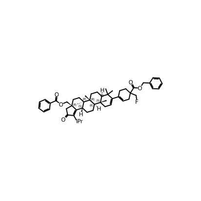 CC(C)C1=C2[C@H]3CC[C@@H]4[C@@]5(C)CC=C(C6=CCC(CF)(C(=O)OCc7ccccc7)CC6)C(C)(C)[C@@H]5CC[C@@]4(C)[C@]3(C)CC[C@@]2(COC(=O)c2ccccc2)CC1=O